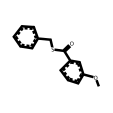 COc1cccc(C(=O)SCc2ccccc2)c1